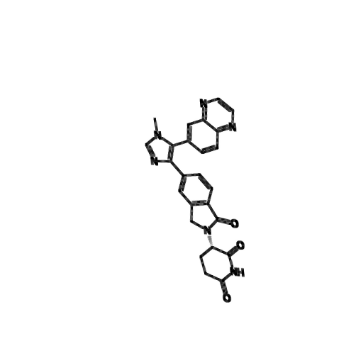 Cn1cnc(-c2ccc3c(c2)CN([C@H]2CCC(=O)NC2=O)C3=O)c1-c1ccc2nccnc2c1